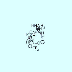 CC(C)[C@H]1NC(=O)[C@@H](Pc2cccc(C(F)(F)F)c2)NCCOc2ccccc2C[C@H](C)CNC(=O)[C@H](CNC(=N)N)NC1=O